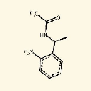 C[C@H](NC(=O)C(F)(F)F)c1ccccc1N